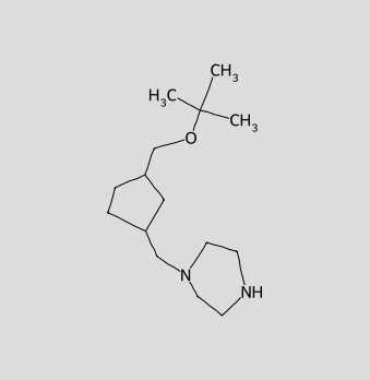 CC(C)(C)OCC1CCC(CN2CCNCC2)C1